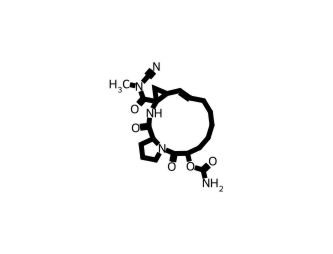 CN(C#N)C(=O)C12CC1/C=C/CCCCCC(OC(N)=O)C(=O)N1CCCC1C(=O)N2